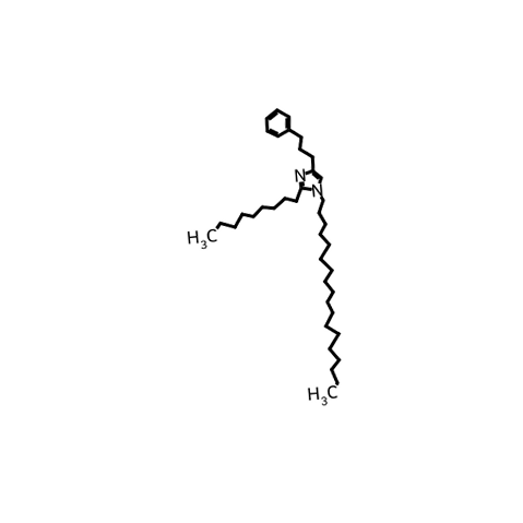 CCCCCCCCCCCCCCCCCCn1cc(CCCc2ccccc2)nc1CCCCCCCCC